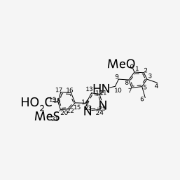 COc1cc(C)c(C)cc1CCNc1cc(-c2ccc(C(=O)O)c(SC)c2)ncn1